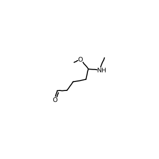 CNC(CCCC=O)OC